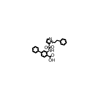 O=C(O)c1ccc(-c2ccccc2)cc1NS(=O)(=O)c1ccnn1CCc1ccccc1